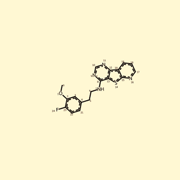 COc1cc(CCNc2ncnc3c2sc2ncccc23)ccc1F